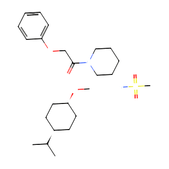 CC(C)[C@H]1CC[C@@H](OC[C@H]2[C@@H](NS(C)(=O)=O)CCCN2C(=O)COc2ccccc2)CC1